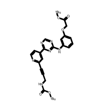 CC(C)(C)OC(=O)COc1cccc(Nc2ncnc(-c3ccnc(C#CCNC(=O)OC(C)(C)C)c3)n2)c1